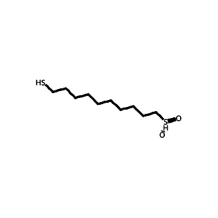 O=[SH](=O)CCCCCCCCCCS